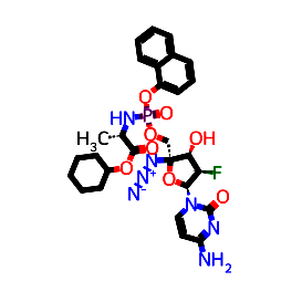 C[C@H](NP(=O)(OC[C@@]1(N=[N+]=[N-])O[C@@H](n2ccc(N)nc2=O)[C@H](F)[C@@H]1O)Oc1cccc2ccccc12)C(=O)OC1CCCCC1